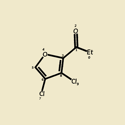 CCC(=O)c1occ(Cl)c1Cl